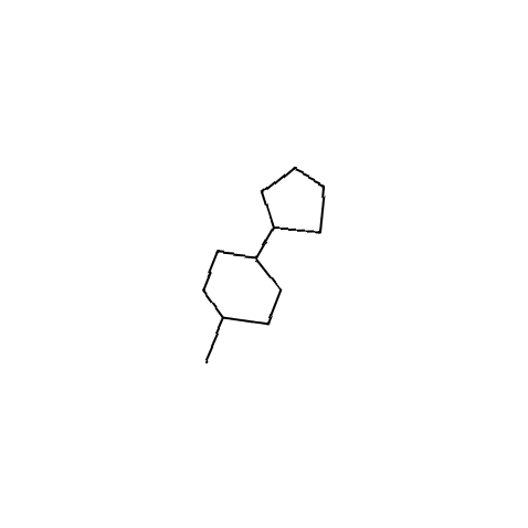 CC1CC[C](C2CCCC2)CC1